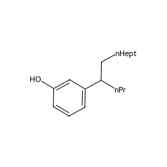 CCCCCCCCC(CCC)c1cccc(O)c1